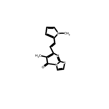 Cc1c(/C=C/c2cccn2C)nc2sccn2c1=O